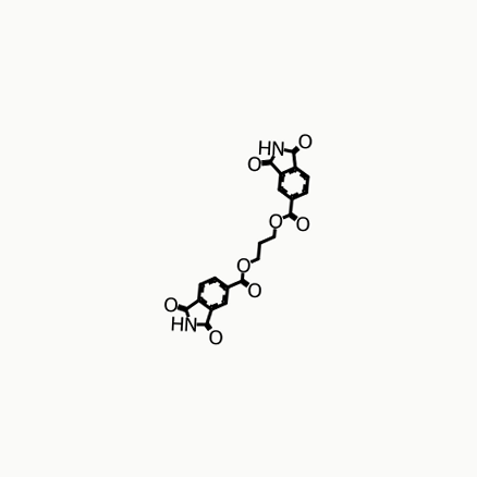 O=C(OCCCOC(=O)c1ccc2c(c1)C(=O)NC2=O)c1ccc2c(c1)C(=O)NC2=O